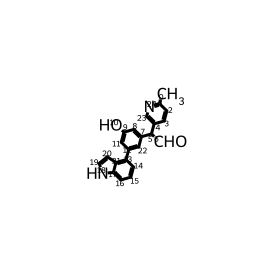 Cc1ccc(C(C=O)c2cc(O)cc(-c3cccc4[nH]ccc34)c2)cn1